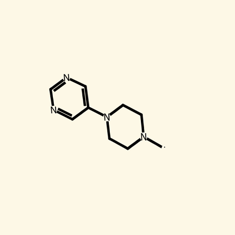 [CH2]N1CCN(c2cncnc2)CC1